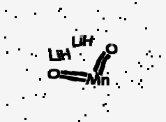 [LiH].[LiH].[O]=[Mn]=[O]